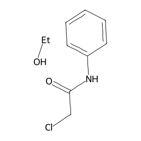 CCO.O=C(CCl)Nc1ccccc1